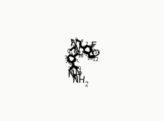 CC1N=CC=C(c2cc(F)c3occc3c2)N1[C@@H](C)c1cccc(-c2cnc(N)nc2)c1